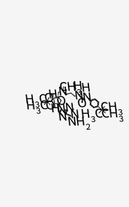 CN(CCCNC(=O)Nc1ccc(C(C)(C)C)cc1)C[C@H]1OC(n2cnc3c(N)ncnc32)[C@@H]2OC(C)(C)O[C@H]12